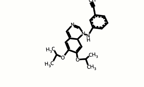 C#Cc1cccc(NN2C=NC=C3C=C(OC(C)C)C(OC(C)C)=CC32)c1